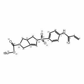 C=CC(=O)Nc1ccc(S(=O)(=O)N2C=C3CN(C(=O)OC(C)(C)C)CC3C2)cc1